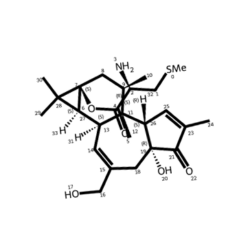 CSC[C@H](N)C(=O)O[C@@]12C[C@@H](C)[C@@]3(C)[C@@H](C=C(CO)C[C@]4(O)C(=O)C(C)=C[C@@H]34)[C@H]1C2(C)C